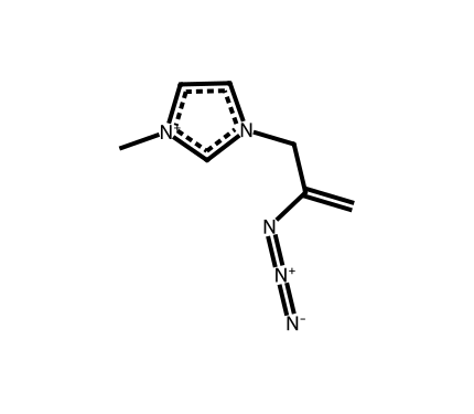 C=C(Cn1cc[n+](C)c1)N=[N+]=[N-]